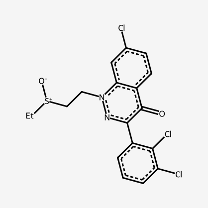 CC[S+]([O-])CCn1nc(-c2cccc(Cl)c2Cl)c(=O)c2ccc(Cl)cc21